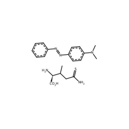 CC(CC(N)=S)[C@H](N)C(=O)O.CN(C)c1ccc(N=Nc2ccccc2)cc1